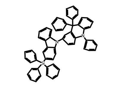 c1ccc(N2c3ccccc3C(c3ccccc3)(c3ccccc3)c3cc(-n4c5ccccc5c5cc([Si](c6ccccc6)(c6ccccc6)c6ccccc6)ccc54)ccc32)cc1